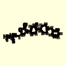 CNC(=S)NC[C@H]1CN(c2ccc(C3CCN(Cc4cnccn4)CC3)c(F)c2)C(=O)O1